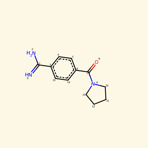 N=C(N)c1ccc(C(=O)N2CCCC2)cc1